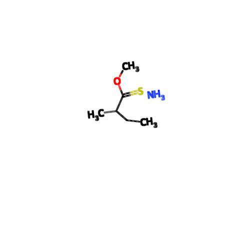 CCC(C)C(=S)OC.N